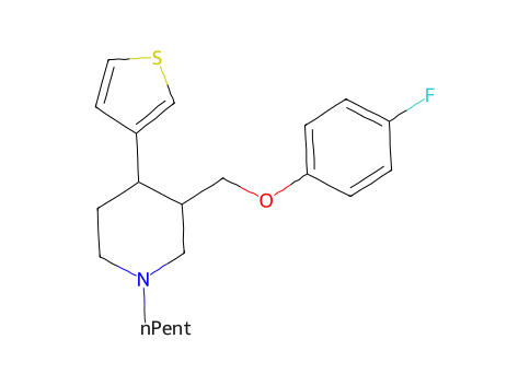 CCCCCN1CCC(c2ccsc2)C(COc2ccc(F)cc2)C1